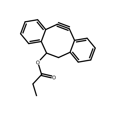 CCC(=O)OC1Cc2ccccc2C#Cc2ccccc21